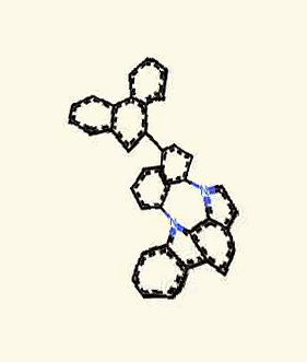 c1ccc(-n2c3ccccc3c3ccc4ccn(-c5ccc(-c6cc7ccccc7c7ccccc67)cc5)c4c32)cc1